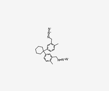 Cc1ccc(C2(c3ccc(C)c(CN=[N+]=[N-])c3)CCCCC2)cc1CN=[N+]=[N-]